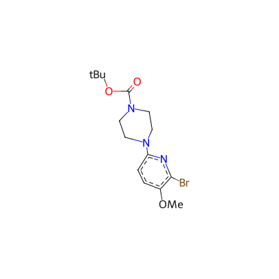 COc1ccc(N2CCN(C(=O)OC(C)(C)C)CC2)nc1Br